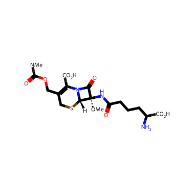 CNC(=O)OCC1=C(C(=O)O)N2C(=O)[C@](NC(=O)CCCC(N)C(=O)O)(OC)[C@@H]2SC1